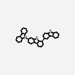 c1ccc2c(c1)sc1ccc(-c3cccc4c3sc3cc(-n5c6ccccc6c6ccccc65)ccc34)cc12